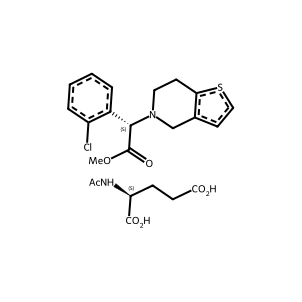 CC(=O)N[C@@H](CCC(=O)O)C(=O)O.COC(=O)[C@H](c1ccccc1Cl)N1CCc2sccc2C1